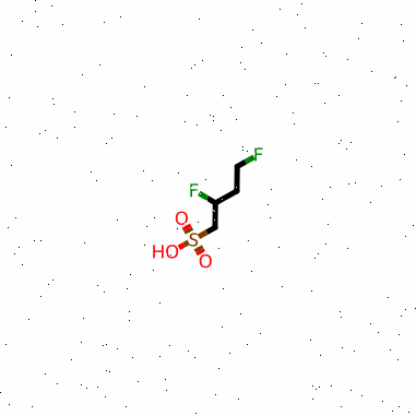 O=S(=O)(O)CC(F)CCF